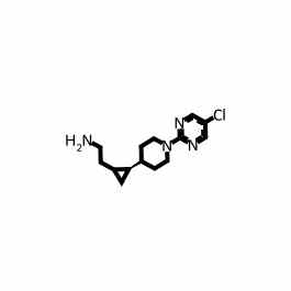 NCCC1C[C@@H]1C1CCN(c2ncc(Cl)cn2)CC1